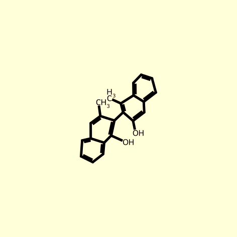 Cc1cc2ccccc2c(O)c1-c1c(O)cc2ccccc2c1C